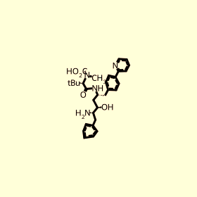 CN(C(=O)O)[C@H](C(=O)N[C@H](Cc1ccc(-c2ccccn2)cc1)C[C@@H](O)[C@@H](N)Cc1ccccc1)C(C)(C)C